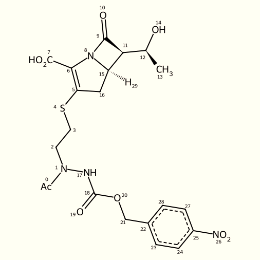 CC(=O)N(CCSC1=C(C(=O)O)N2C(=O)[C@@H]([C@H](C)O)[C@H]2C1)NC(=O)OCc1ccc([N+](=O)[O-])cc1